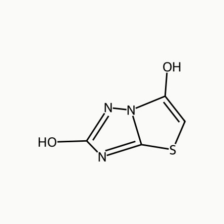 Oc1nc2scc(O)n2n1